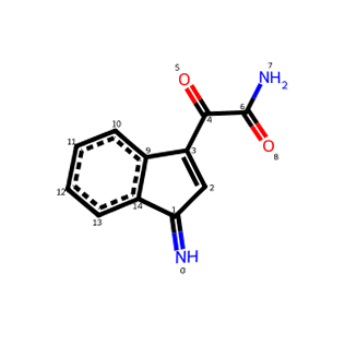 N=C1C=C(C(=O)C(N)=O)c2ccccc21